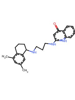 Cc1cc(C)c2c(c1)C(NCCCNc1cc(=O)c3ccccc3[nH]1)CCC2